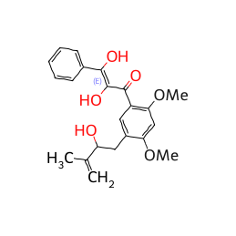 C=C(C)C(O)Cc1cc(C(=O)/C(O)=C(\O)c2ccccc2)c(OC)cc1OC